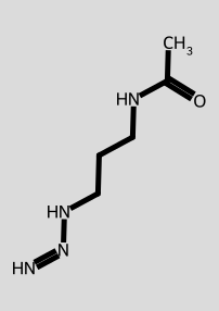 CC(=O)NCCCNN=N